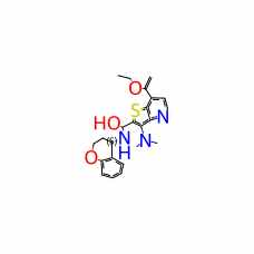 C=C(OCC)c1ccnc2c(N(C)C)c(C(O)N[C@H]3CCOc4ccccc43)sc12